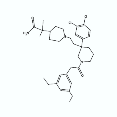 CCc1cc(CC)cc(CC(=O)N2CCCC(CCN3CCC(C(C)(C)C(N)=O)CC3)(c3ccc(Cl)c(Cl)c3)C2)c1